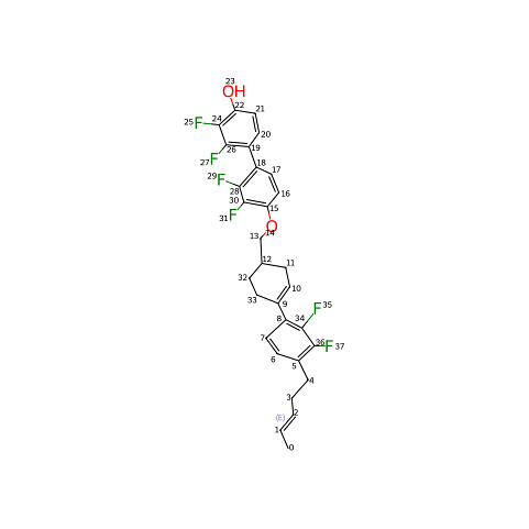 C/C=C/CCc1ccc(C2=CCC(COc3ccc(-c4ccc(O)c(F)c4F)c(F)c3F)CC2)c(F)c1F